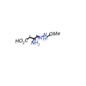 COCN/N=C/[C@@H](N)CC(=O)O